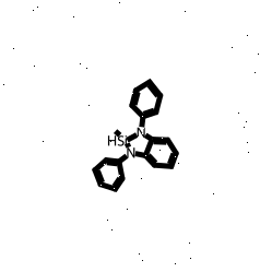 C[SiH]1N(c2ccccc2)c2ccccc2N1c1ccccc1